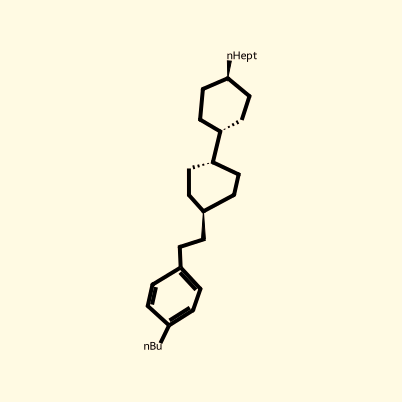 CCCCCCC[C@H]1CC[C@H]([C@H]2CC[C@H](CCc3ccc(CCCC)cc3)CC2)CC1